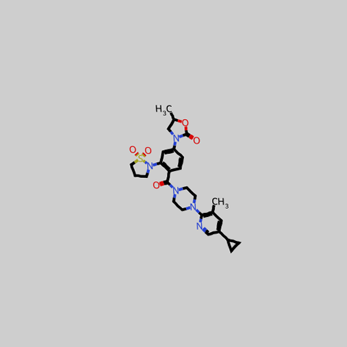 Cc1cc(C2CC2)cnc1N1CCN(C(=O)c2ccc(N3CC(C)OC3=O)cc2N2CCCS2(=O)=O)CC1